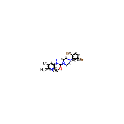 CCc1cc(NC(=O)N2CCN(c3cc(Br)ccc3Br)CC2)c(OC)nc1C